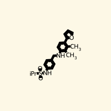 Cc1c(NCc2ccc(NS(=O)(=O)C(C)C)cc2)ccc(-c2ccco2)c1C